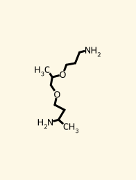 CC(N)CCOCC(C)OCCCN